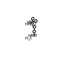 CCNC(=O)c1ccc(-c2cccc(CN3C(=N)NC(c4ccccc4)(c4ccccc4)C3=O)c2)cc1